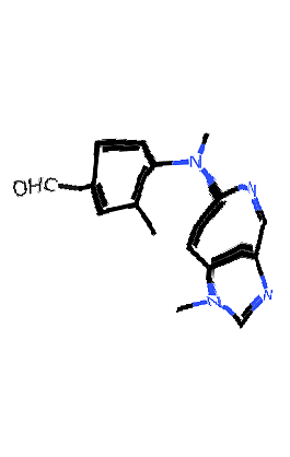 Cc1cc(C=O)ccc1N(C)c1cc2c(cn1)ncn2C